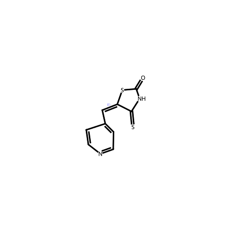 O=C1NC(=S)/C(=C\c2ccncc2)S1